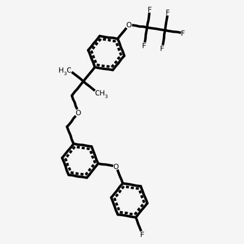 CC(C)(COCc1cccc(Oc2ccc(F)cc2)c1)c1ccc(OC(F)(F)C(F)(F)F)cc1